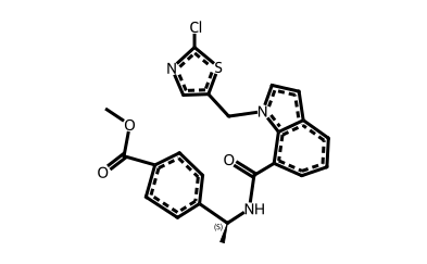 COC(=O)c1ccc([C@H](C)NC(=O)c2cccc3ccn(Cc4cnc(Cl)s4)c23)cc1